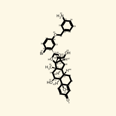 C[C@]12C=CC(=O)C=C1CC[C@@H]1[C@@H]2[C@@H](O)C[C@@]2(C)[C@H]1C[C@H]1O[C@@H](c3cc(OCc4cccc(N)c4)ccc3Br)O[C@]12C(=O)CO